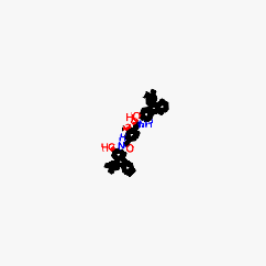 CCCC1(CCC)c2ccccc2-c2cc(NC(=O)c3ccc(C(=O)Nc4cc5c(cc4O)C(CCC)(CCC)c4ccccc4-5)c(OC)c3)c(O)cc21